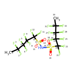 CC(F)(F)C(F)(F)C(F)(F)C(F)(F)S(=O)(=O)NS(=O)(=O)C(F)(F)C(F)(F)C(F)(F)C(C)(F)F